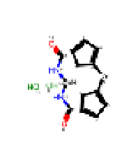 C1=CC[C]([Zr][C]2=CC=CC2)=C1.Cl.Cl.O=C[NH][InH][NH]C=O